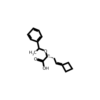 CC(O[C@H](CC=C1CCC1)C(=O)O)c1ccccc1